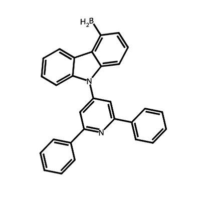 Bc1cccc2c1c1ccccc1n2-c1cc(-c2ccccc2)nc(-c2ccccc2)c1